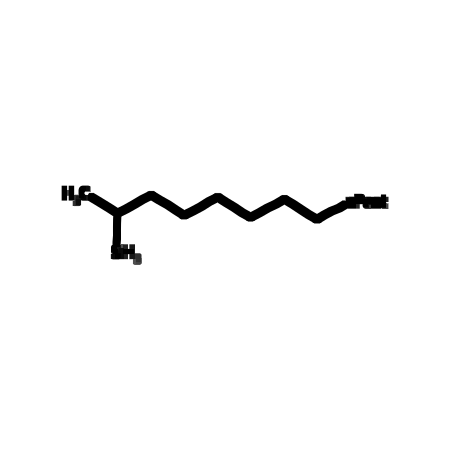 CCCCCCCCCCCC(C)[SiH3]